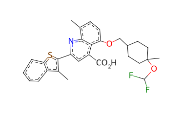 Cc1c(-c2cc(C(=O)O)c3c(OCC4CCC(C)(OC(F)F)CC4)ccc(C)c3n2)sc2ccccc12